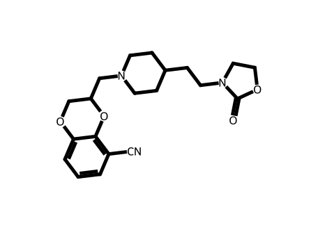 N#Cc1cccc2c1OC(CN1CCC(CCN3CCOC3=O)CC1)CO2